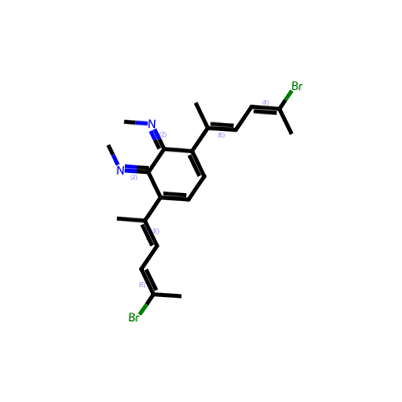 C/N=C1/C(/C(C)=C/C=C(\C)Br)=CC=C(/C(C)=C/C=C(\C)Br)/C1=N/C